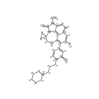 Cn1c(=O)n2c3c4c(c(-c5ccn(CCCN6CCCCC6)c(=O)c5)c(F)cc4ncc31)OCC21CC1